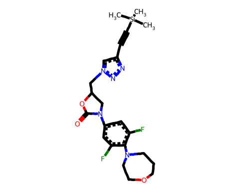 C[Si](C)(C)C#Cc1cn(CC2CN(c3cc(F)c(N4CCCOCC4)c(F)c3)C(=O)O2)nn1